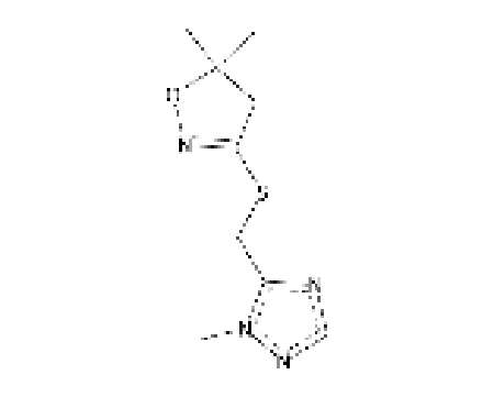 Cn1ncnc1CSC1=NOC(C)(C)C1